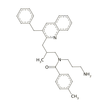 Cc1ccc(C(=O)N(CCCN)CC(C)Cc2nc3ccccc3cc2Cc2ccccc2)cc1